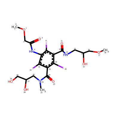 COCC(=O)Nc1c(I)c(C(=O)NCC(O)COC)c(I)c(C(=O)N(C)CC(O)CO)c1I